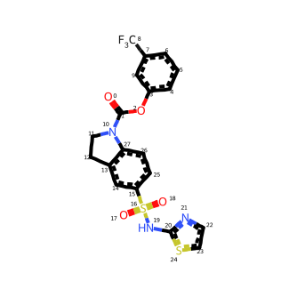 O=C(Oc1cccc(C(F)(F)F)c1)N1CCc2cc(S(=O)(=O)Nc3nccs3)ccc21